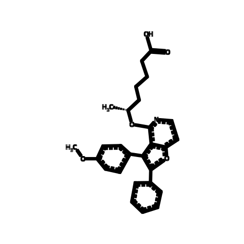 COc1ccc(-c2c(-c3ccccc3)oc3ccnc(O[C@H](C)CCCCC(=O)O)c23)cc1